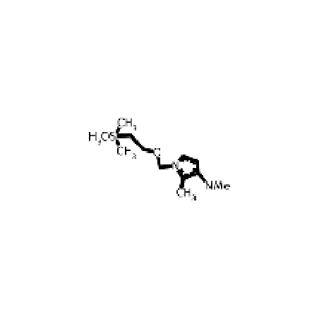 CNc1ccn(COCC[Si](C)(C)C)c1C